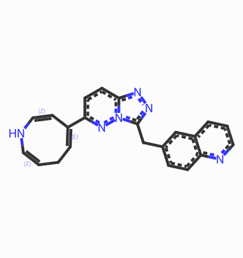 C1=C\N/C=C\C(c2ccc3nnc(Cc4ccc5ncccc5c4)n3n2)=C/C/1